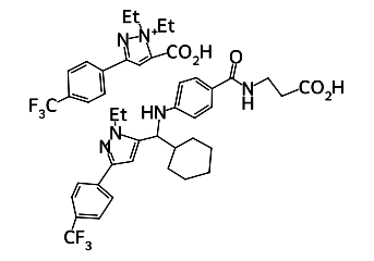 CC[N+]1(CC)N=C(c2ccc(C(F)(F)F)cc2)C=C1C(=O)O.CCn1nc(-c2ccc(C(F)(F)F)cc2)cc1C(Nc1ccc(C(=O)NCCC(=O)O)cc1)C1CCCCC1